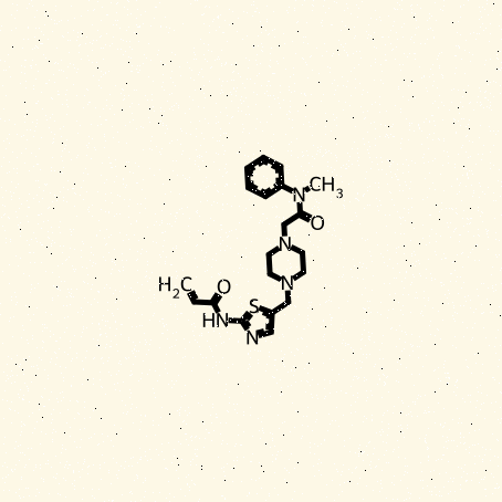 C=CC(=O)Nc1ncc(CN2CCN(CC(=O)N(C)c3ccccc3)CC2)s1